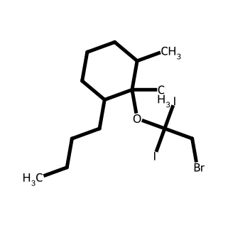 CCCCC1CCCC(C)C1(C)OC(I)(I)CBr